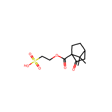 CC1(C)C2CCC1(C(=O)OCCS(=O)(=O)O)C(=O)C2